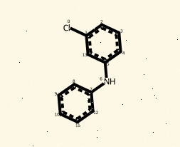 Clc1cccc(Nc2cc[c]cc2)c1